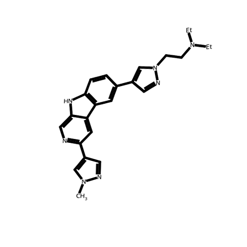 CCN(CC)CCn1cc(-c2ccc3[nH]c4cnc(-c5cnn(C)c5)cc4c3c2)cn1